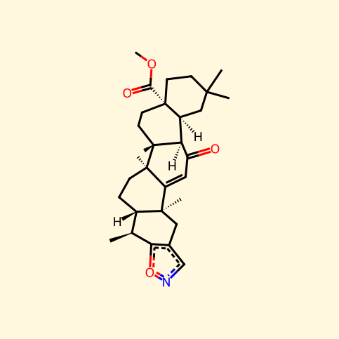 COC(=O)[C@]12CCC(C)(C)C[C@H]1[C@H]1C(=O)C=C3[C@@]4(C)Cc5cnoc5[C@@H](C)[C@@H]4CC[C@@]3(C)[C@]1(C)CC2